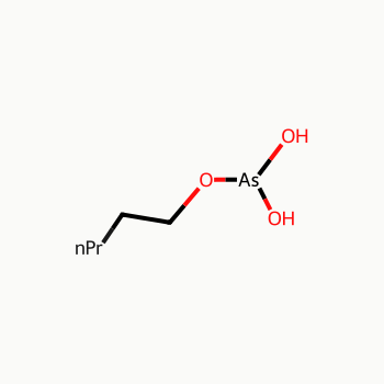 CCCCCO[As](O)O